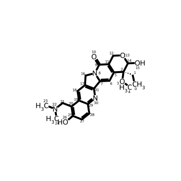 CC[C@]1(OC)c2cc3n(c(=O)c2COC1O)Cc1cc2c(CN(C)C)c(O)ccc2nc1-3